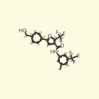 Cc1cc(NC(=O)c2cc(-c3ccc(CO)cc3)oc2C(F)(F)F)cc(C(F)(F)F)c1